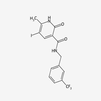 Cc1[nH]c(=O)c(C(=O)NCc2cccc(C(F)(F)F)c2)cc1I